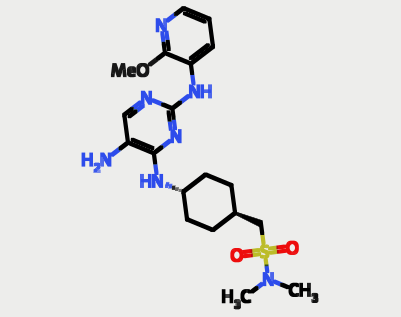 COc1ncccc1Nc1ncc(N)c(N[C@H]2CC[C@H](CS(=O)(=O)N(C)C)CC2)n1